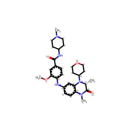 COc1cc(C(=O)NC2CCN(C)CC2)ccc1Nc1ccc2c(c1)N(C1CCOCC1)[C@H](C)C(=O)N2C